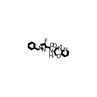 C[C@H]1Oc2cccnc2N(C)C(=O)[C@H]1NC(=O)c1nn(Cc2ccccc2)cc1F